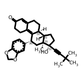 CC(C)(C)C#C[C@]1(O)CC[C@H]2[C@@H]3CCC4=CC(=O)CCC4=C3[C@@H](c3ccc4c(c3)OCO4)C[C@@]21C